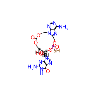 Nc1nc2c(ncn2[C@@H]2O[C@@H]3COC(=O)OCCn4c(nc5c(N)ncnc54)COP(=O)(S)O[C@@H]2[C@@H]3O)c(=O)[nH]1